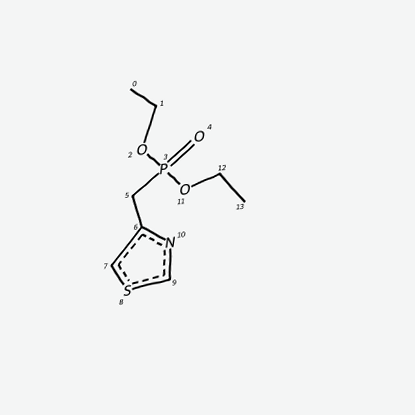 CCOP(=O)(Cc1cscn1)OCC